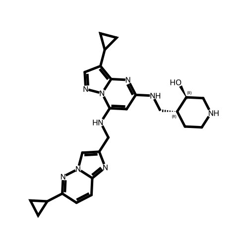 O[C@H]1CNCC[C@@H]1CNc1cc(NCc2cn3nc(C4CC4)ccc3n2)n2ncc(C3CC3)c2n1